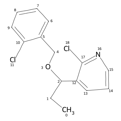 CCC(OCc1ccccc1Cl)c1cccnc1Cl